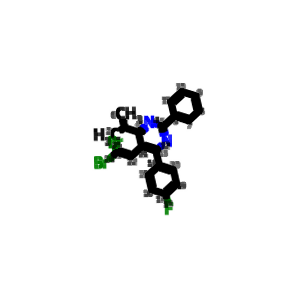 CC(C)c1nc(-c2ccccc2)nc(-c2ccc(F)cc2)c1C=C(Br)Br